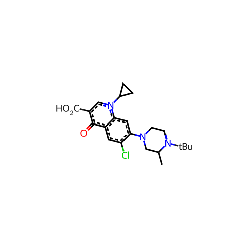 CC1CN(c2cc3c(cc2Cl)c(=O)c(C(=O)O)cn3C2CC2)CCN1C(C)(C)C